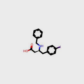 O=C(O)C[C@H](Cc1ccc(I)cc1)NCc1ccccc1